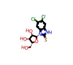 OC[C@H]1O[C@@H](n2c(=S)[nH]c3cc(Cl)c(Cl)cc32)[C@H](O)[C@@H]1O